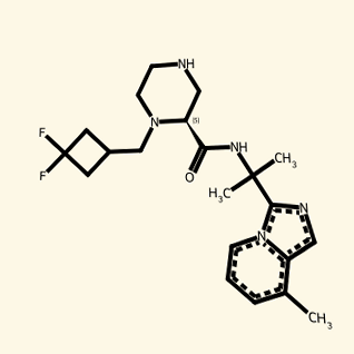 Cc1cccn2c(C(C)(C)NC(=O)[C@@H]3CNCCN3CC3CC(F)(F)C3)ncc12